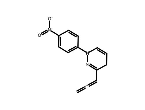 C=C=CC1=NN(c2ccc([N+](=O)[O-])cc2)C=CC1